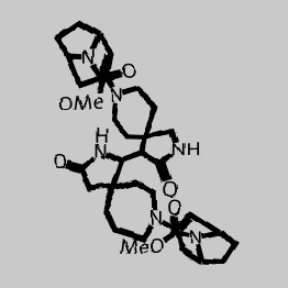 COC(=O)N1C2C=C(N3CCCC4(CC3)CC(=O)NC4C3C(=O)NCC34CCN(C3=CC5CCC(C3)N5C(=O)OC)CC4)CC1CC2